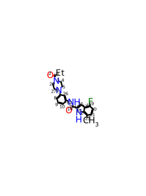 CCC(=O)N1CCN(c2cccc(NC(=O)c3cc4c(F)ccc(C)c4[nH]3)c2)CC1